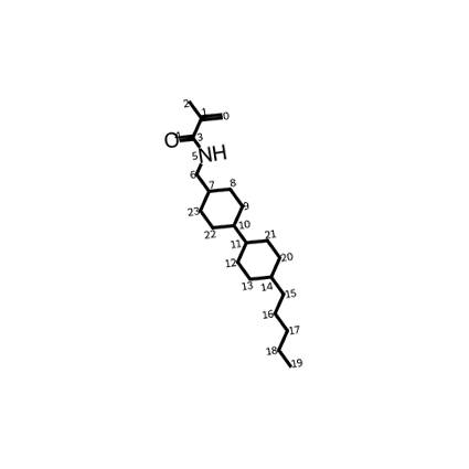 C=C(C)C(=O)NCC1CCC(C2CCC(CCCCC)CC2)CC1